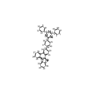 c1ccc(-c2nc(-c3ccccc3)nc(-c3ccc(-c4ccc5c(c4)c4ccccc4n4c6ccccc6nc54)cc3)n2)cc1